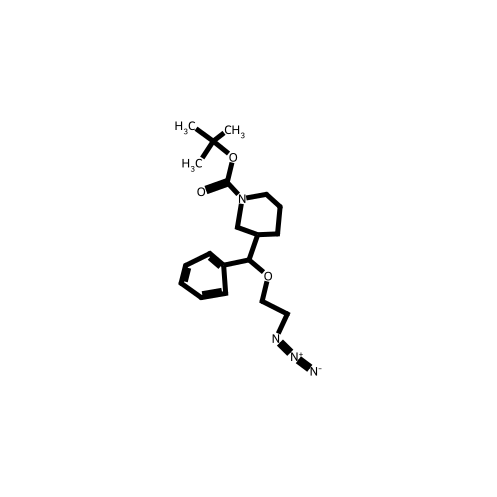 CC(C)(C)OC(=O)N1CCCC(C(OCCN=[N+]=[N-])c2ccccc2)C1